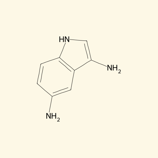 Nc1ccc2[nH]cc(N)c2c1